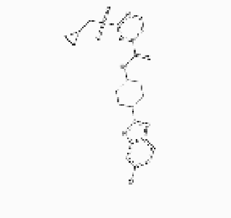 O=C(NC1CCC(c2nc3cc(Cl)ccc3o2)CC1)c1ccnc(S(=O)(=O)CC2CC2)c1